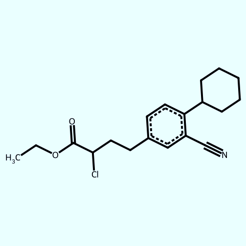 CCOC(=O)C(Cl)CCc1ccc(C2CCCCC2)c(C#N)c1